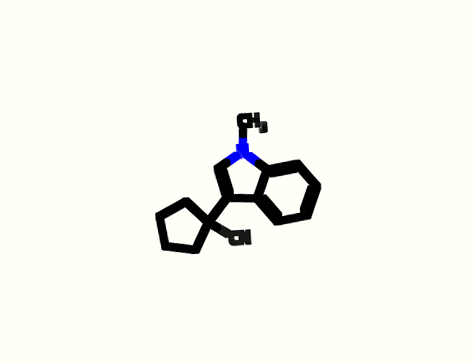 Cn1cc(C2(C#N)CCCC2)c2ccccc21